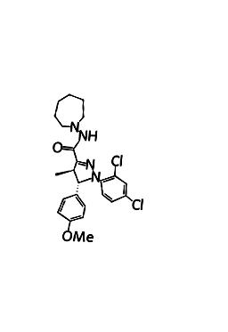 COc1ccc([C@@H]2[C@@H](C)C(C(=O)NN3CCCCCC3)=NN2c2ccc(Cl)cc2Cl)cc1